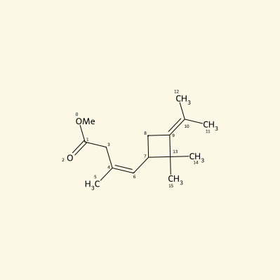 COC(=O)CC(C)=CC1CC(=C(C)C)C1(C)C